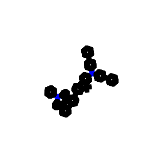 CC1(C)c2cc(-c3ccc4c(c3)C3(c5ccccc5-4)c4ccccc4N(c4ccccc4)c4ccccc43)ccc2-c2ccc(N(c3ccc(-c4ccccc4)cc3)c3ccc(-c4ccccc4)cc3)cc21